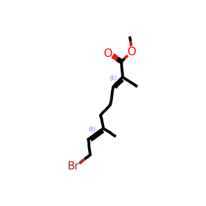 COC(=O)/C(C)=C/CC/C(C)=C/CBr